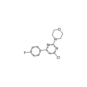 Fc1ccc(-c2cc(Cl)nc(N3CCOCC3)n2)cc1